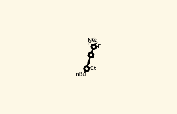 CCCCc1ccc(C#Cc2ccc(-c3cc(F)c(SC#N)c(F)c3)cc2)c(CC)c1